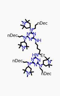 CCCCCCCCCCCCN(c1nc(NCCCCC(CC)Nc2nc(N(CCCCCCCCCCCC)C3CC(C)(C)N(C)C(C)(C)C3)nc(N(CCCCCCCCCCCC)C3CC(C)(C)N(C)C(C)(C)C3)n2)nc(N(CCCCCCCCCCCC)C2CC(C)(C)N(C)C(C)(C)C2)n1)C1CC(C)(C)N(C)C(C)(C)C1